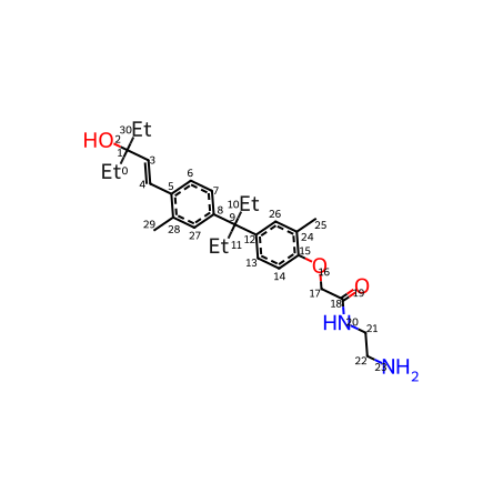 CCC(O)(C=Cc1ccc(C(CC)(CC)c2ccc(OCC(=O)NCCN)c(C)c2)cc1C)CC